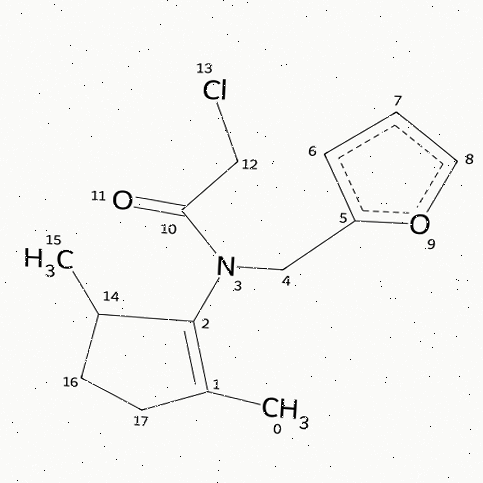 CC1=C(N(Cc2ccco2)C(=O)CCl)C(C)CC1